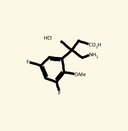 COc1c(F)cc(F)cc1C(C)(CN)CC(=O)O.Cl